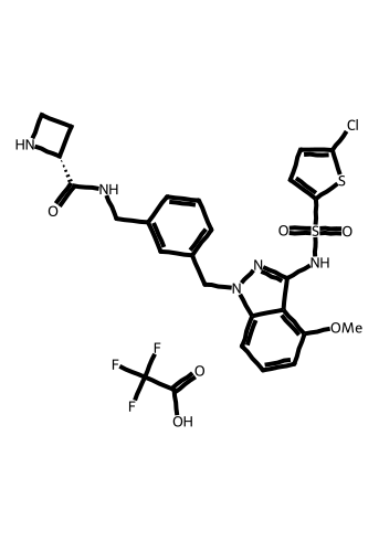 COc1cccc2c1c(NS(=O)(=O)c1ccc(Cl)s1)nn2Cc1cccc(CNC(=O)[C@H]2CCN2)c1.O=C(O)C(F)(F)F